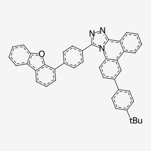 CC(C)(C)c1ccc(-c2ccc3c(c2)c2ccccc2c2nnc(-c4ccc(-c5cccc6c5oc5ccccc56)cc4)n32)cc1